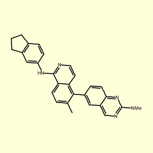 CNc1ncc2cc(-c3c(C)ccc4c(Nc5ccc6c(c5)CCC6)nccc34)ccc2n1